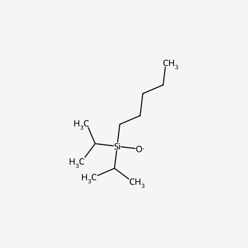 CCCCC[Si]([O])(C(C)C)C(C)C